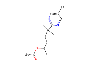 CCc1cnc(C(C)(C)CCC(C)OC(=O)C(C)(C)C)nc1